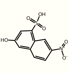 O=[N+]([O-])c1ccc2cc(O)cc(S(=O)(=O)O)c2c1